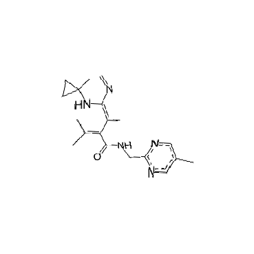 C=N/C(NC1(C)CC1)=C(\C)C(C(=O)NCc1ncc(C)cn1)=C(C)C